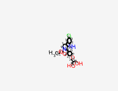 CCOC(=O)N1CCc2c([nH]c3ccc(Cl)cc23)C1c1ccc(OCC(CO)CO)cc1